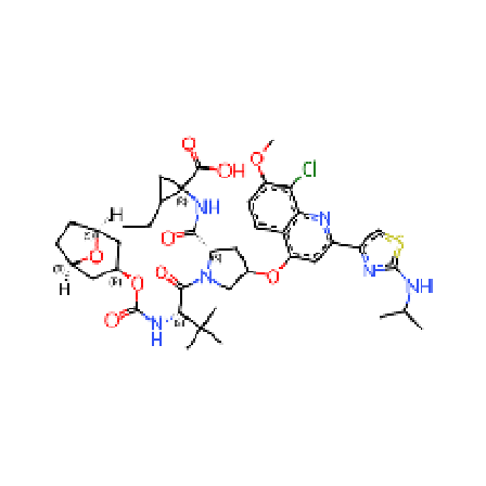 CCC1C[C@]1(NC(=O)[C@@H]1CC(Oc2cc(-c3csc(NC(C)C)n3)nc3c(Cl)c(OC)ccc23)CN1C(=O)[C@@H](NC(=O)O[C@H]1C[C@H]2CC[C@@H](C1)O2)C(C)(C)C)C(=O)O